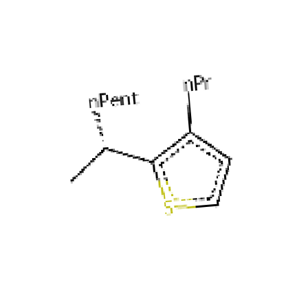 CCCCC[C@@H](C)c1sccc1CCC